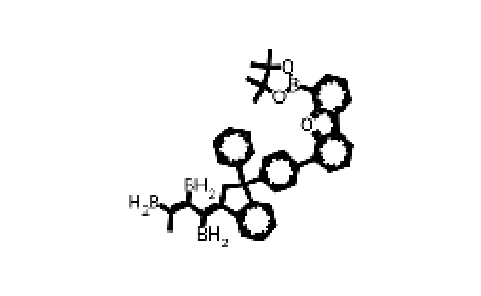 B/C(C)=C(B)/C(B)=C1\CC(c2ccccc2)(c2ccc(-c3cccc4c3oc3c(B5OC(C)(C)C(C)(C)O5)cccc34)cc2)c2ccccc21